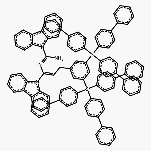 N/C(=N\C(=C/Cc1cc(S(c2ccc(-c3ccccc3)cc2)(c2ccc(-c3ccccc3)cc2)c2ccc(-c3ccccc3)cc2)cc(S(c2ccc(-c3ccccc3)cc2)(c2ccc(-c3ccccc3)cc2)c2ccc(-c3ccccc3)cc2)c1)n1c2ccccc2c2ccccc21)n1c2ccccc2c2ccccc21